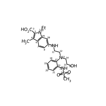 CCn1c(C(=O)O)c(C)c2ccc(NCCN(CCO)c3ccccc3NS(C)(=O)=O)cc21